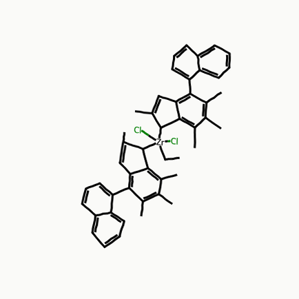 C[CH2][Zr]([Cl])([Cl])([CH]1C(C)=Cc2c(-c3cccc4ccccc34)c(C)c(C)c(C)c21)[CH]1C(C)=Cc2c(-c3cccc4ccccc34)c(C)c(C)c(C)c21